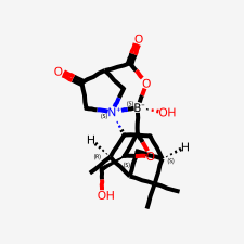 C[C@@H]1C2C[C@@H](CC1[N@+]13CC(=O)C(C1)C(=O)O[B@@-]3(O)C1O[C@H]1CO)C2(C)C